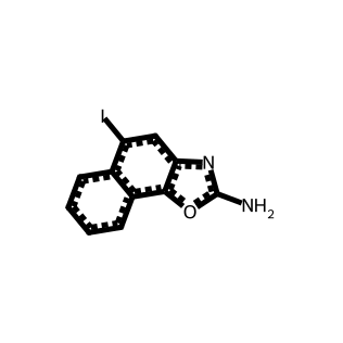 Nc1nc2cc(I)c3ccccc3c2o1